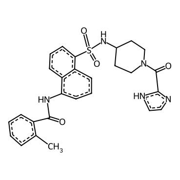 Cc1ccccc1C(=O)Nc1cccc2c(S(=O)(=O)NC3CCN(C(=O)c4ncc[nH]4)CC3)cccc12